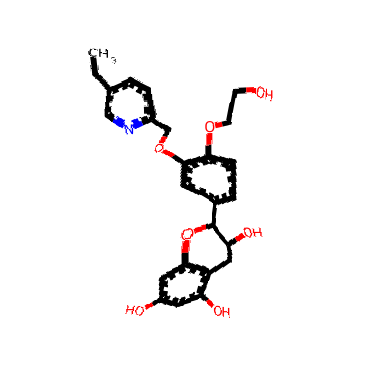 CCc1ccc(COc2cc(C3Oc4cc(O)cc(O)c4CC3O)ccc2OCCO)nc1